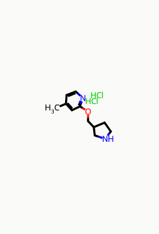 Cc1ccnc(OCC2CCNC2)c1.Cl.Cl